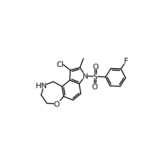 Cc1c(Cl)c2c3c(ccc2n1S(=O)(=O)c1cccc(F)c1)OCCNC3